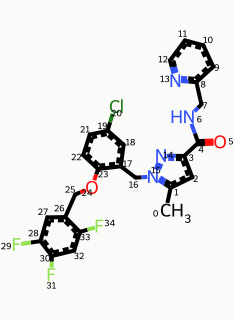 Cc1cc(C(=O)NCc2ccccn2)nn1Cc1cc(Cl)ccc1OCc1cc(F)c(F)cc1F